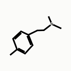 Cc1ccc(CCN(C)C)cc1